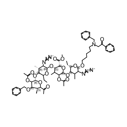 CCC1O[C@H](O[C@H]2C(C)C(OC(C)=O)[C@H](O[C@H]3C(C)C(N=[N+]=[N-])[C@@H](OCCCCCN(CC(=O)c4ccccc4)Cc4ccccc4)O[C@H]3CC)O[C@H]2C(=O)OC)C(N=[N+]=[N-])[C@@H](C)[C@@H]1O[C@@H]1OC(C(C)=O)[C@@H](C)[C@@H](OCc2ccccc2)C1OC(C)=O